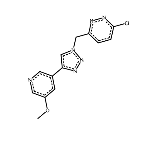 COc1cncc(-c2cn(Cc3ccc(Cl)nn3)nn2)c1